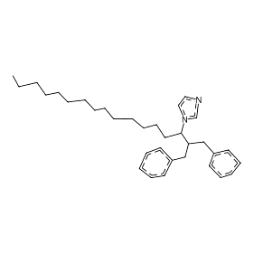 CCCCCCCCCCCCCCC(C(Cc1ccccc1)Cc1ccccc1)n1ccnc1